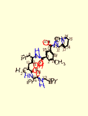 Cc1cc(C(=O)NC(CC(C)C)C(O)CC(C)C(=O)NC(C(=O)NCC(C)C)C(C)C)cc(C(=O)N(C)Cc2ccccn2)c1